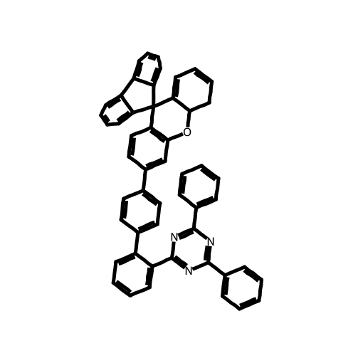 C1=CCC2Oc3cc(-c4ccc(-c5ccccc5-c5nc(-c6ccccc6)nc(-c6ccccc6)n5)cc4)ccc3C3(C2=C1)c1ccccc1-c1ccccc13